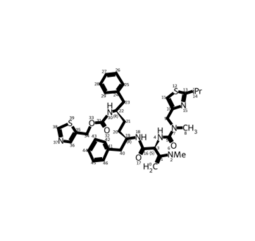 C=C(NC)[C@H](NC(=O)N(C)Cc1csc(C(C)C)n1)C(=O)N[C@H](CC[C@H](Cc1ccccc1)NC(=O)OCc1cncs1)Cc1ccccc1